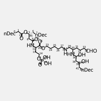 CCCCCCCCCCCC(=O)O[C@H](CCCCCCCCCCC)CC(=O)NC(CCOP(=O)(O)O)C(=O)OCCCCCNCC(CCCC=O)NC(O)C[C@H](O)CCCCCCCCCCC